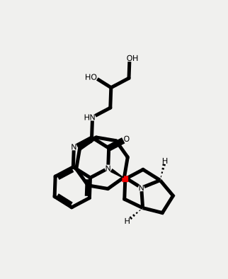 O=c1c(NCC(O)CO)nc2ccccc2n1[C@H]1C[C@H]2CC[C@@H](C1)N2C1CCCCCCC1